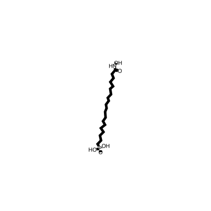 O=C(CCCCCCCCCCCCCCCCCCCP(=O)(O)O)NO